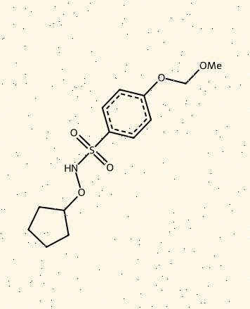 COCOc1ccc(S(=O)(=O)NOC2CCCC2)cc1